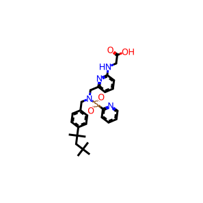 CC(C)(C)CC(C)(C)c1ccc(CN(Cc2cccc(NCC(=O)O)n2)S(=O)(=O)c2ccccn2)cc1